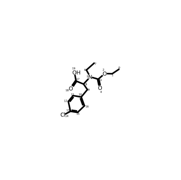 CCOC(=O)N(CC)C(Cc1ccc(Cl)cc1)C(=O)O